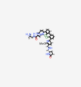 COc1nc(-c2cccc(-c3cccc(-c4ccc5nc(C(=O)NC[C@@H](C)N)cn5n4)c3Cl)c2Cl)ccc1CNC[C@@H]1CCC(=O)N1